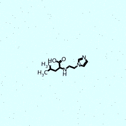 CC(C)CC(NCCn1ccnc1)C(=O)O